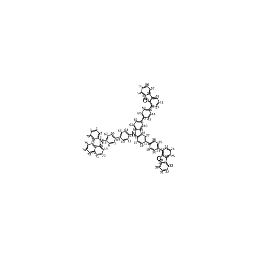 c1ccc(N(c2ccc(-c3ccc(-n4c5ccc(-c6ccc(-c7cccc8c7oc7ccccc78)cc6)cc5c5cc(-c6ccc(-c7cccc8c7oc7ccccc78)cc6)ccc54)cc3)cc2)c2cccc3ccccc23)cc1